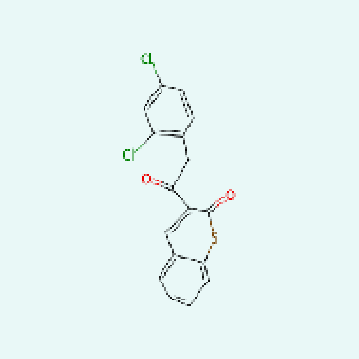 O=C(Cc1ccc(Cl)cc1Cl)c1cc2ccccc2sc1=O